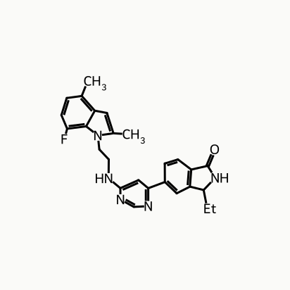 CCC1NC(=O)c2ccc(-c3cc(NCCn4c(C)cc5c(C)ccc(F)c54)ncn3)cc21